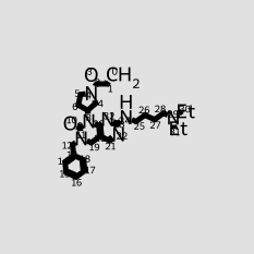 C=CC(=O)N1CCC(N2C(=O)N(Cc3ccccc3)Cc3cnc(NCCCCN(CC)CC)nc32)C1